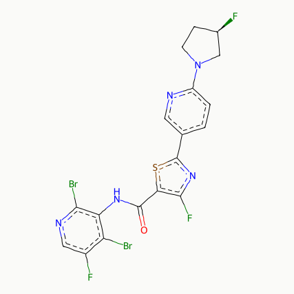 O=C(Nc1c(Br)ncc(F)c1Br)c1sc(-c2ccc(N3CC[C@@H](F)C3)nc2)nc1F